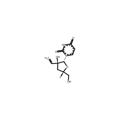 C=C[C@@]1(O)C[C@@](F)(CO)O[C@H]1n1ccc(=O)[nH]c1=O